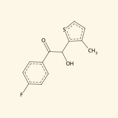 Cc1ccsc1C(O)C(=O)c1ccc(F)cc1